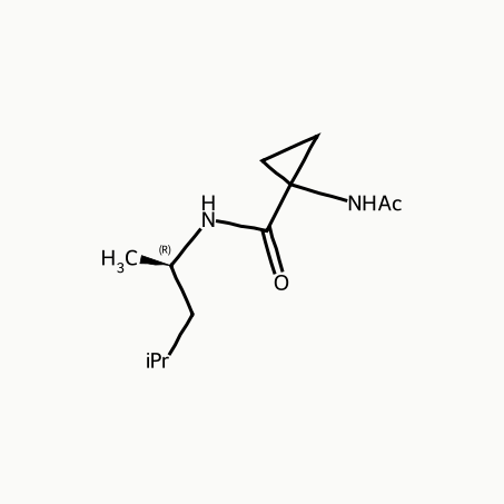 CC(=O)NC1(C(=O)N[C@H](C)CC(C)C)CC1